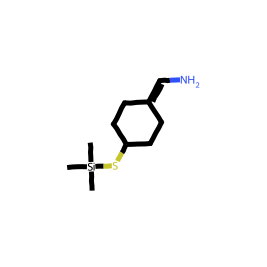 C[Si](C)(C)SC1CCC(=CN)CC1